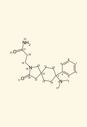 CN(C)C1(c2ccccc2)CCC2(CC1)CC(=O)N(CCC(N)=O)C2